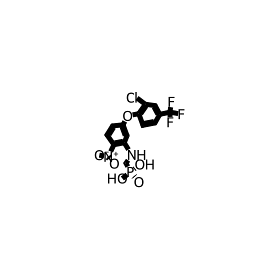 O=[N+]([O-])c1ccc(Oc2ccc(C(F)(F)F)cc2Cl)cc1NCP(=O)(O)O